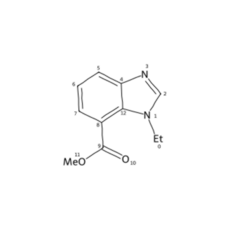 CCn1cnc2cccc(C(=O)OC)c21